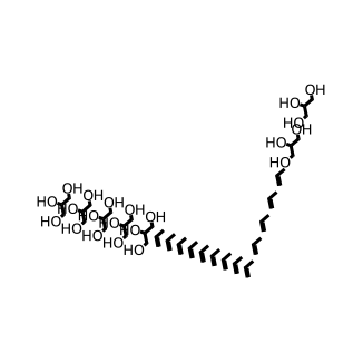 C=CC.C=CC.C=CC.C=CC.C=CC.C=CC.C=CC.C=CC.C=CC.C=CC.C=CC.C=CC.C=CC.OCC(O)CO.OCC(O)CO.OCC(O)CO.OCC(O)CO.OCC(O)CO.OCC(O)CO.OCC(O)CO